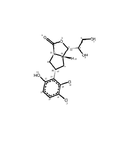 O=C1O[C@H](C(O)CO)[C@@H]2C[C@H](c3c(O)ccc(Cl)c3Cl)CN12